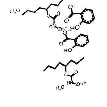 CCCCC(CCC)OC(=O)[NH][Zn+].CCCCC(CCC)OC(=O)[NH][Zn+].O.O.O=C([O-])c1ccccc1O.O=C([O-])c1ccccc1O